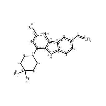 C=Cc1ccc2[nH]c3c(N4CCC(CC)(CC)CC4)nc(Cl)nc3c2c1